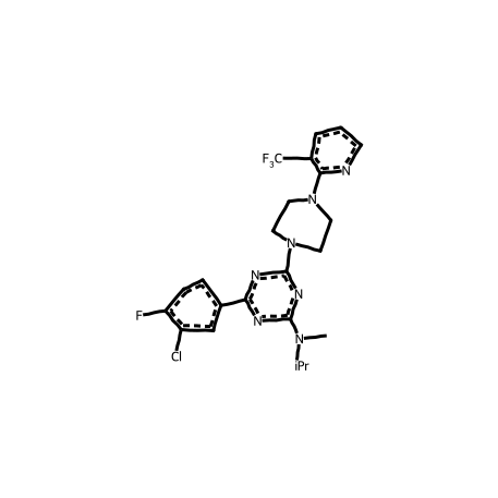 CC(C)N(C)c1nc(-c2ccc(F)c(Cl)c2)nc(N2CCN(c3ncccc3C(F)(F)F)CC2)n1